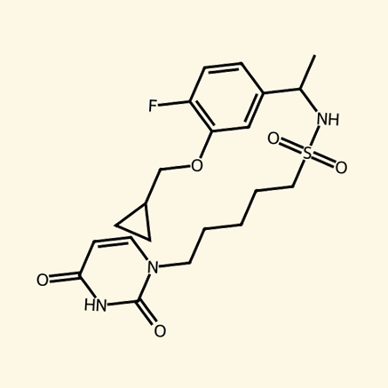 CC(NS(=O)(=O)CCCCCn1ccc(=O)[nH]c1=O)c1ccc(F)c(OCC2CC2)c1